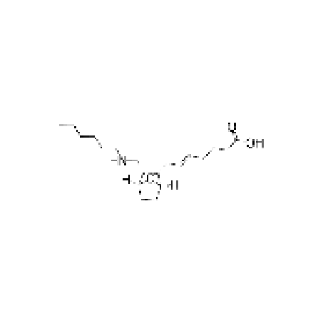 CCCCCCNC[C@@H]1[C@H](CC=CCCCC(=O)O)[C@H]2CC[C@@H]1O2